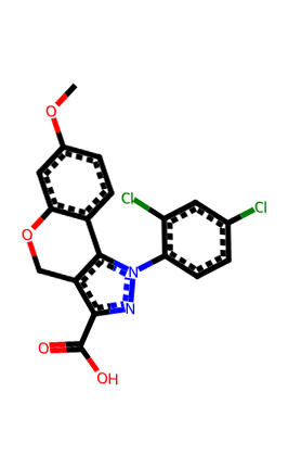 COc1ccc2c(c1)OCc1c(C(=O)O)nn(-c3ccc(Cl)cc3Cl)c1-2